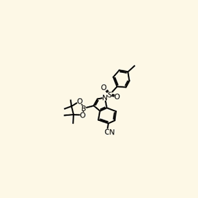 Cc1ccc(S(=O)(=O)n2cc(B3OC(C)(C)C(C)(C)O3)c3cc(C#N)ccc32)cc1